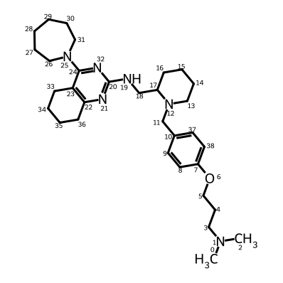 CN(C)CCCOc1ccc(CN2CCCCC2CNc2nc3c(c(N4CCCCCC4)n2)CCCC3)cc1